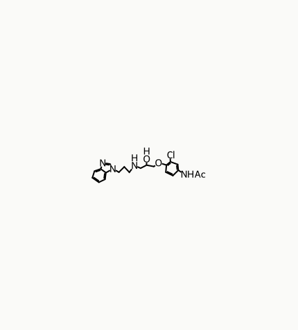 CC(=O)Nc1ccc(OCC(O)CNCCCn2cnc3ccccc32)c(Cl)c1